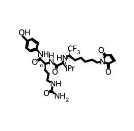 CC(C)[C@H](N[C@@H](CCCCCN1C(=O)C=CC1=O)C(F)(F)F)C(=O)N[C@@H](CCCNC(N)=O)C(=O)Nc1ccc(CO)cc1